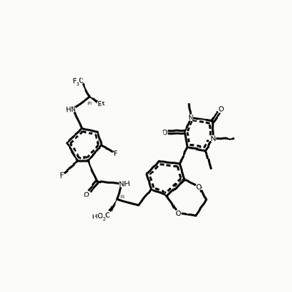 CC[C@@H](Nc1cc(F)c(C(=O)N[C@@H](Cc2ccc(-c3c(C)n(C)c(=O)n(C)c3=O)c3c2OCCO3)C(=O)O)c(F)c1)C(F)(F)F